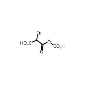 CCC(C(=O)O)C(=O)OC(=O)O